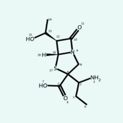 CCC(N)C1(C(=O)O)CN2C(=O)[C@H](C(C)O)[C@H]2S1